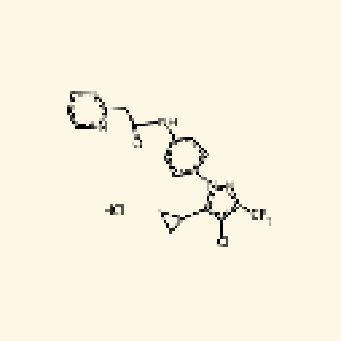 Cl.O=C(Cc1ccccn1)Nc1ccc(-n2nc(C(F)(F)F)c(Cl)c2C2CC2)cc1